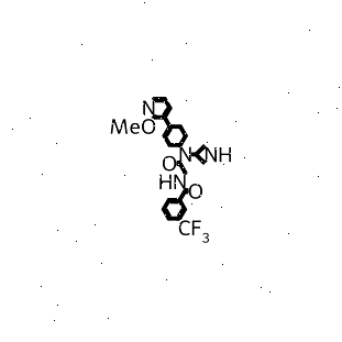 COc1ncccc1C1=CCC(N(C(=O)CNC(=O)c2cccc(C(F)(F)F)c2)C2CNC2)CC1